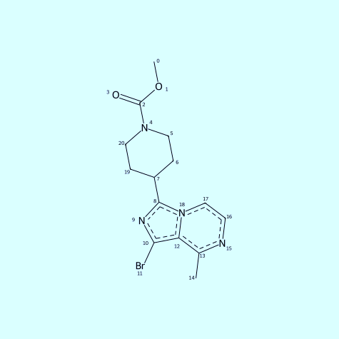 COC(=O)N1CCC(c2nc(Br)c3c(C)nccn23)CC1